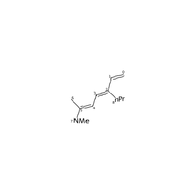 C=C/C(=C/C=C(\C)NC)CCC